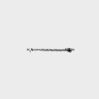 NCCCCCCCCCCCCCCCCCCCCCCCCCCCCCCCCCCCCOP(=O)(O)O